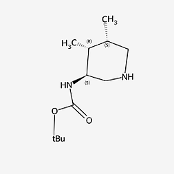 C[C@@H]1[C@H](C)CNC[C@H]1NC(=O)OC(C)(C)C